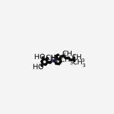 C=C1C(=C/C=C2\CCC[C@]3(C)[C@@H]([C@H](C)CCCC(C)C)CC[C@@H]23)CC(O)CC1O